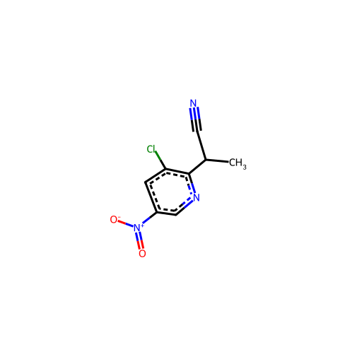 CC(C#N)c1ncc([N+](=O)[O-])cc1Cl